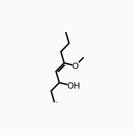 [CH2]CC(O)C=C(CCC)OC